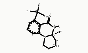 CN1C(=O)c2c(cccc2C(F)(F)F)N2CCNC[C@H]12